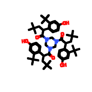 CC(C)(C)CC(C(=O)N1CN(C(=O)C(CC(C)(C)C)c2ccc(O)cc2C(C)(C)C)CN(C(=O)C(CC(C)(C)C)c2ccc(O)cc2C(C)(C)C)C1)c1ccc(O)cc1C(C)(C)C